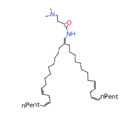 CCCCC/C=C\C/C=C\CCCCCCCCC(=CNC1OC1CCN(C)C)CCCCCCCC/C=C\C/C=C\CCCCC